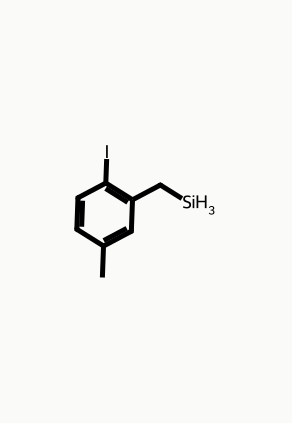 Cc1ccc(I)c(C[SiH3])c1